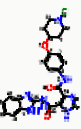 O=C(Nc1ccc(OC2CCN(Cl)CC2)cc1)c1nc[nH]c1C(=O)Nc1nc2ccccc2[nH]1